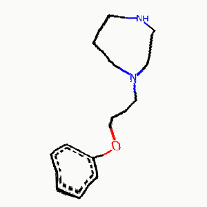 c1ccc(OCCN2CCCNCC2)cc1